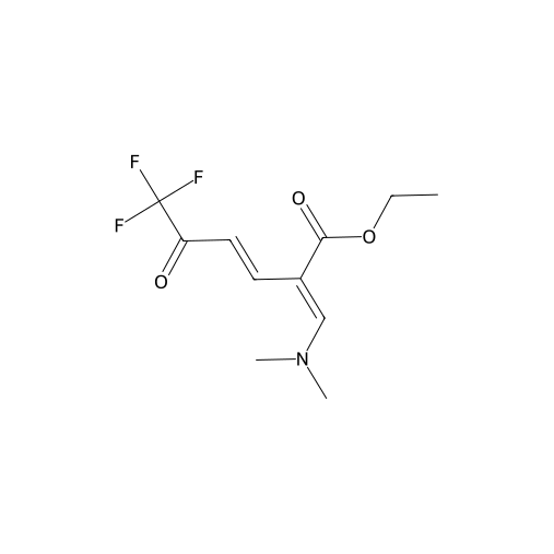 CCOC(=O)C(/C=C/C(=O)C(F)(F)F)=C/N(C)C